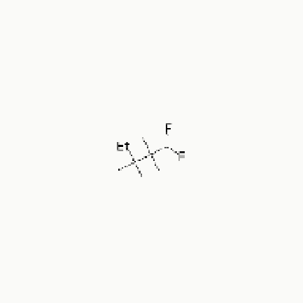 CCC(C)(C)C(C)(C)C(F)F